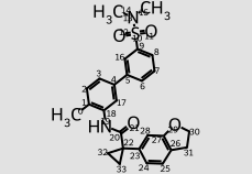 Cc1ccc(-c2cccc(S(=O)(=O)N(C)C)c2)cc1NC(=O)C1(c2ccc3c(c2)OCC3)CC1